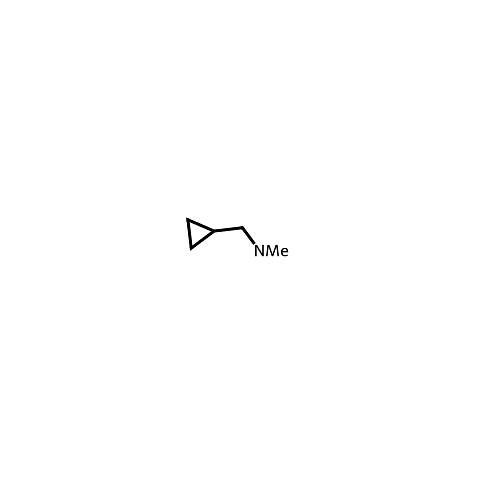 [CH2-][NH2+]CC1CC1